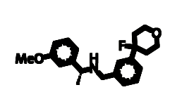 COc1cccc([C@@H](C)NCc2cccc(C3(F)CCOCC3)c2)c1